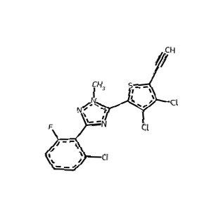 C#Cc1sc(-c2nc(-c3c(F)cccc3Cl)nn2C)c(Cl)c1Cl